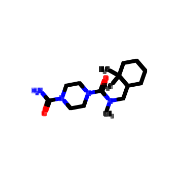 CN(CC1CCCCC1(C)C)C(=O)N1CCN(C(N)=O)CC1